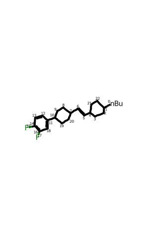 CCCCC1CCC(/C=C/C2CCC(c3ccc(F)c(F)c3)CC2)CC1